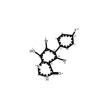 O=c1[nH]cnc2c(O)c(Br)c(-c3ccc(F)cc3)c(Br)c12